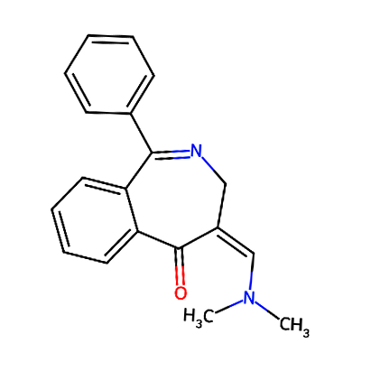 CN(C)C=C1CN=C(c2ccccc2)c2ccccc2C1=O